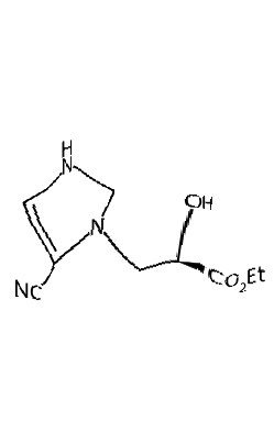 CCOC(=O)[C@H](O)CN1CNC=C1C#N